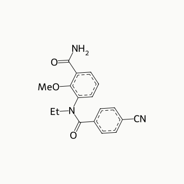 CCN(C(=O)c1ccc(C#N)cc1)c1cccc(C(N)=O)c1OC